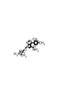 Cc1ccc(-c2ncnc3c2c(C(N)=O)cn3COCC[Si](C)(C)C)c(C)c1